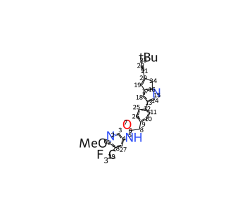 COc1ncc(NC(=O)Cc2ccc(-c3cnc4c(c3)C=C(C#CC(C)(C)C)C4)cc2)cc1C(F)(F)F